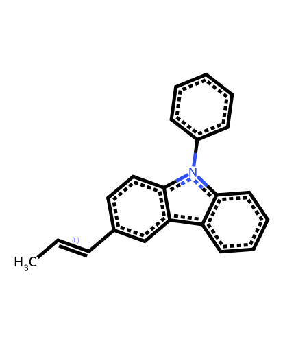 C/C=C/c1ccc2c(c1)c1ccccc1n2-c1ccccc1